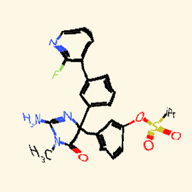 CC(C)S(=O)(=O)Oc1cccc(C2(c3cccc(-c4cccnc4F)c3)N=C(N)N(C)C2=O)c1